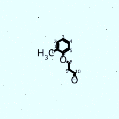 Cc1ccccc1OCCC=O